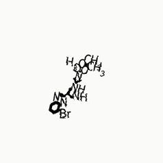 CC(C)(C)OC(=O)N1CC(N/C=C(\C=N)c2cnc3cccc(Br)c3n2)C1